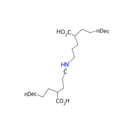 CCCCCCCCCCCCC(CCCNCCCC(CCCCCCCCCCCC)C(=O)O)C(=O)O